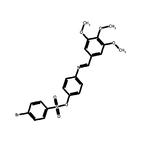 COc1cc(/C=N/c2ccc(OS(=O)(=O)c3ccc(Br)cc3)cc2)cc(OC)c1OC